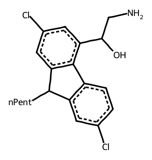 CCCCCC1c2cc(Cl)ccc2-c2c(C(O)CN)cc(Cl)cc21